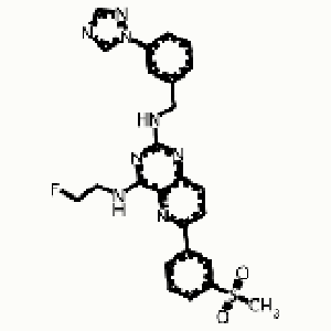 CS(=O)(=O)c1cccc(-c2ccc3nc(NCc4cccc(-n5cncn5)c4)nc(NCCF)c3n2)c1